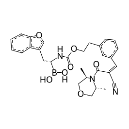 C[C@@H]1COC[C@@H](C)N1C(=O)C(C#N)=Cc1cccc(CCOC(=O)N[C@@H](Cc2coc3ccccc23)B(O)O)c1